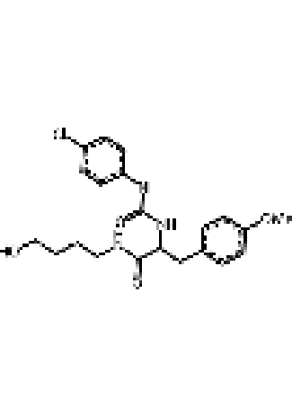 COc1ccc(CC(NC(=O)Nc2ccc(Cl)cc2)C(=O)NCCCCO)cc1